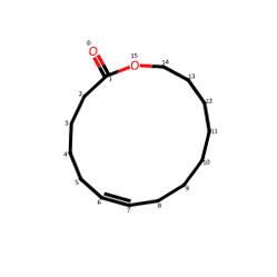 O=C1CCCCC=CCCCCCCCO1